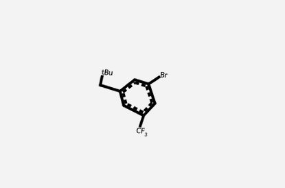 CC(C)(C)Cc1cc(Br)cc(C(F)(F)F)c1